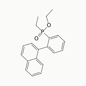 CCOP(=O)(CC)c1ccccc1-c1cccc2ccccc12